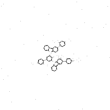 N#Cc1ccc(-c2ccc3c(c2)c2ccccc2n3-c2cc(-c3ccc(C#N)cc3C(F)(F)F)cc(-n3c4ccccc4c4cc(-c5ccc(C#N)cc5C#N)ccc43)c2C#N)c(C#N)c1